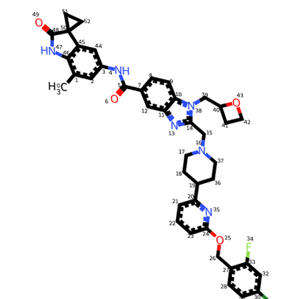 Cc1cc(NC(=O)c2ccc3c(c2)nc(CN2CCC(c4cccc(OCc5ccc(Cl)cc5F)n4)CC2)n3CC2CCO2)cc2c1NC(=O)C21CC1